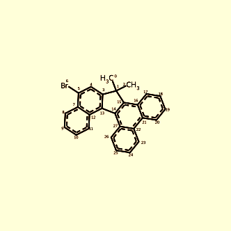 CC1(C)c2cc(Br)c3ccccc3c2-c2c1c1ccccc1c1ccccc21